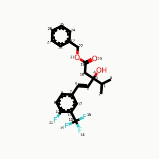 CC(C)C(O)(/C=C/c1ccc(F)c(C(F)(F)F)c1)CC(=O)OCc1ccccc1